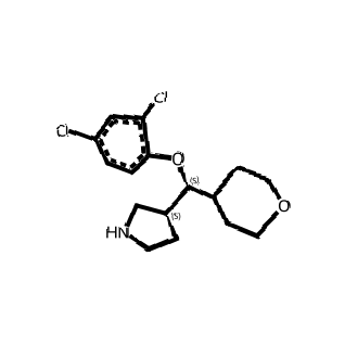 Clc1ccc(O[C@@H](C2CCOCC2)[C@H]2CCNC2)c(Cl)c1